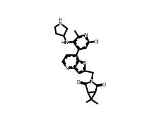 Cc1nc(Cl)cc(-c2ccnc3cc(CN4C(=O)C5C(C4=O)C5(C)C)sc23)c1NC1CCNC1